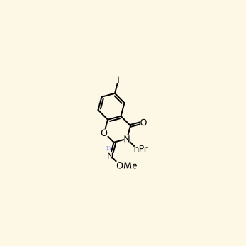 CCCn1c(=O)c2cc(I)ccc2o/c1=N/OC